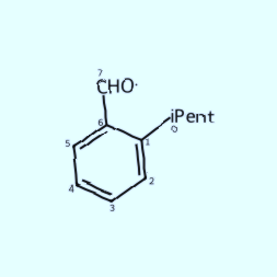 CCCC(C)c1ccccc1[C]=O